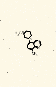 C[C@@H]1CCC[C@@H](c2ccc(C(F)(F)F)c3ncccc23)C1